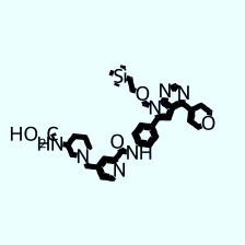 C[Si](C)(C)CCOCn1c(-c2ccc(NC(=O)c3cc(CN4CCCC(NC(=O)O)C4)ccn3)cc2)cc2c(C3=CCOCC3)ncnc21